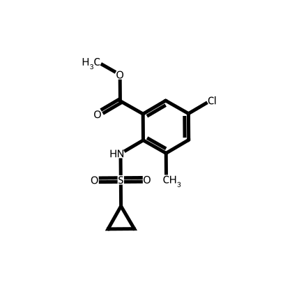 COC(=O)c1cc(Cl)cc(C)c1NS(=O)(=O)C1CC1